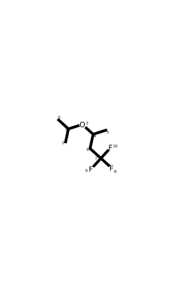 CC(C)OC(C)CC(F)(F)F